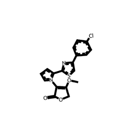 COC1=C(n2cccc2-c2nc(-c3ccc(Cl)cc3)cs2)C(=O)OC1